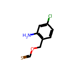 Nc1cc(Cl)ccc1COC=S